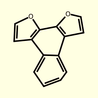 c1ccc2c(c1)c1ccoc1c1occc21